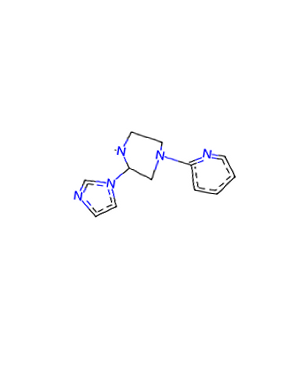 c1ccc(N2CC[N]C(n3ccnc3)C2)nc1